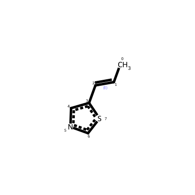 C/C=C/c1cncs1